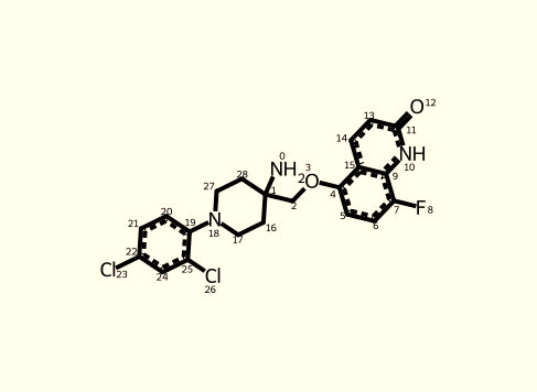 NC1(COc2ccc(F)c3[nH]c(=O)ccc23)CCN(c2ccc(Cl)cc2Cl)CC1